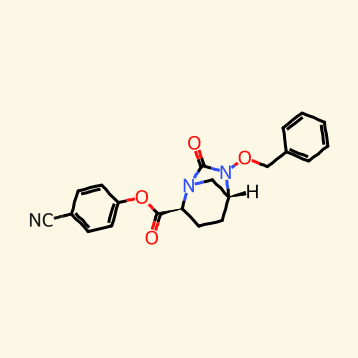 N#Cc1ccc(OC(=O)[C@@H]2CC[C@@H]3CN2C(=O)N3OCc2ccccc2)cc1